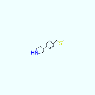 CSCc1ccc(C2CCNCC2)cc1